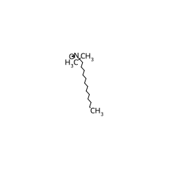 CCCCCCCCCCCCCC(C)(C)N=O